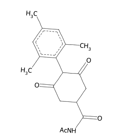 CC(=O)NC(=O)C1CC(=O)C(c2c(C)cc(C)cc2C)C(=O)C1